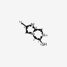 Sc1cn2cc(I)nc2cn1